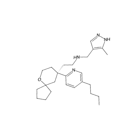 CCCCc1ccc([C@]2(CCNCc3cn[nH]c3C)CCOC3(CCCC3)C2)nc1